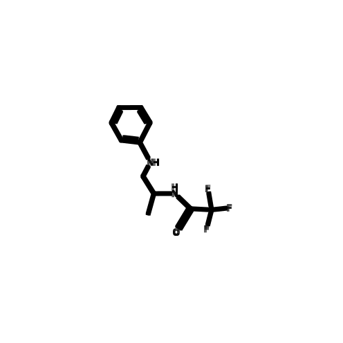 CC(CNc1ccccc1)NC(=O)C(F)(F)F